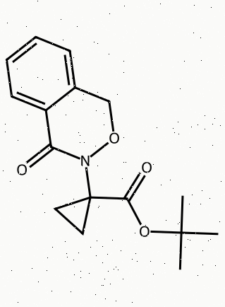 CC(C)(C)OC(=O)C1(N2OCc3ccccc3C2=O)CC1